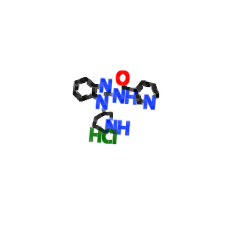 Cl.O=C(Nc1nc2ccccc2n1C1CCCNC1)c1cccnc1